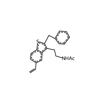 C=Cc1ccc2sc(Cc3ccccc3)c(CCNC(C)=O)c2c1